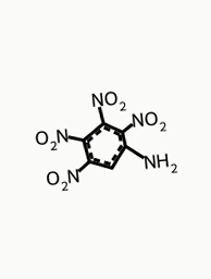 Nc1cc([N+](=O)[O-])c([N+](=O)[O-])c([N+](=O)[O-])c1[N+](=O)[O-]